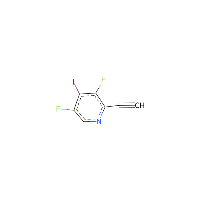 C#Cc1ncc(F)c(I)c1F